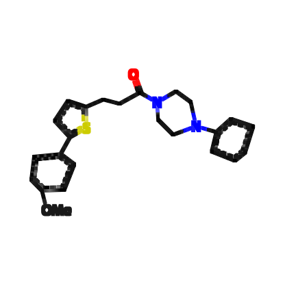 COc1ccc(-c2ccc(CCC(=O)N3CCN(c4ccccc4)CC3)s2)cc1